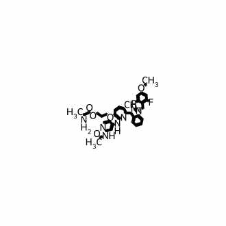 CCOc1cc(F)c(Cn2nc(C3=NC(Nc4ccnc(NC(C)=O)c4)=C(OCCCOC(=O)[C@H](C)N)C=C=C3C)c3ccccc32)c(F)c1